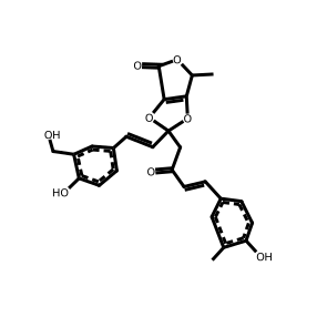 Cc1cc(/C=C/C(=O)CC2(/C=C/c3ccc(O)c(CO)c3)OC3=C(O2)C(C)OC3=O)ccc1O